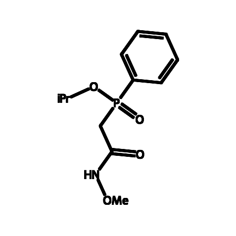 CONC(=O)CP(=O)(OC(C)C)c1ccccc1